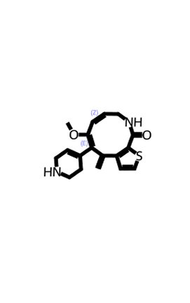 C=C1/C(C2=CCNCC2)=C(OC)\C=C/CNC(=O)c2sccc21